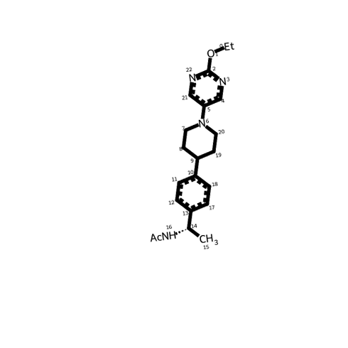 CCOc1ncc(N2CCC(c3ccc([C@H](C)NC(C)=O)cc3)CC2)cn1